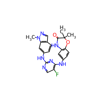 Cn1ncc2ccc(Nc3ncc(F)c(Nc4ccc5c(c4)NC(=O)C(C)(C)O5)n3)cc21